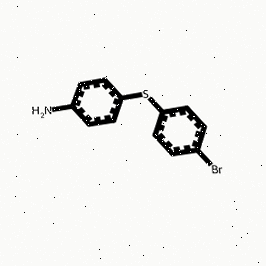 Nc1ccc(Sc2ccc(Br)cc2)cc1